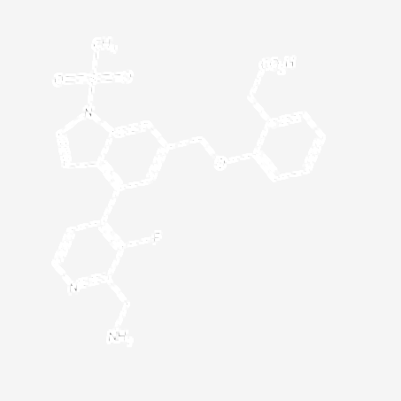 CS(=O)(=O)n1ccc2c(-c3ccnc(CN)c3F)cc(COc3ccccc3CC(=O)O)cc21